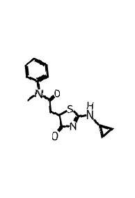 CN(C(=O)CC1SC(NC2CC2)=NC1=O)c1ccccc1